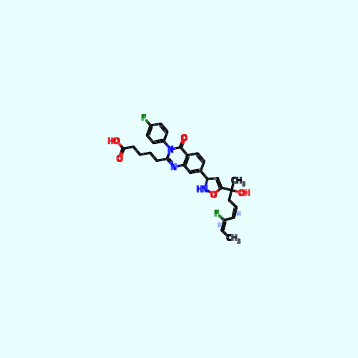 C/C=C(F)\C=C/CC(C)(O)C1=CC(c2ccc3c(=O)n(-c4ccc(F)cc4)c(CCCCC(=O)O)nc3c2)NO1